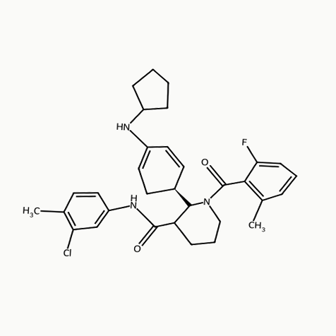 Cc1ccc(NC(=O)C2CCCN(C(=O)c3c(C)cccc3F)C2[C@@H]2C=CC(NC3CCCC3)=CC2)cc1Cl